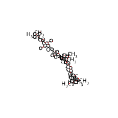 Cc1cc(C)c(N(c2ccc3c(c2)oc2c3cc3ccc4c5oc6cc(N(c7c(C)cc(C)cc7C)c7c(C)cc(CCC8(C)c9ccccc9N(c9ccc%10c(c9)oc9c%10cc%10c(-c%11ccccc%11)cc%11c%12oc%13cc(N%14c%15ccccc%15C(C)(C)c%15ccccc%15%14)ccc%13c%12cc%12c(-c%13ccccc%13)cc9c%10c%12%11)c9ccccc98)cc7C)ccc6c5cc5ccc2c3c54)c2c(C)cc(C)cc2C)c(C)c1